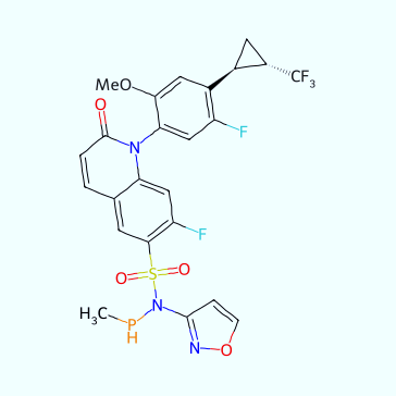 COc1cc([C@H]2C[C@@H]2C(F)(F)F)c(F)cc1-n1c(=O)ccc2cc(S(=O)(=O)N(PC)c3ccon3)c(F)cc21